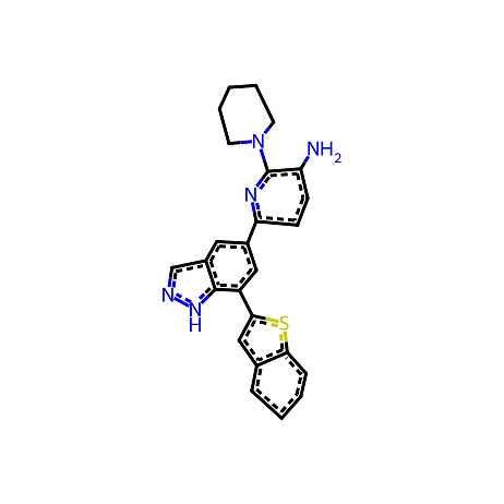 Nc1ccc(-c2cc(-c3cc4ccccc4s3)c3[nH]ncc3c2)nc1N1CCCCC1